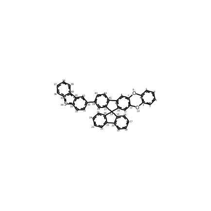 c1ccc2c(c1)Oc1cc3c(cc1O2)C1(c2ccccc2-c2ccccc21)c1cc(-c2ccc4sc5ccccc5c4c2)ccc1-3